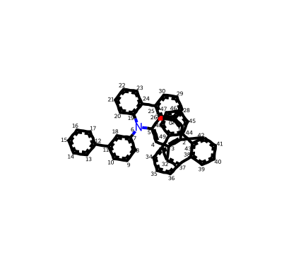 C1=CC2=C(C=C(N(c3cccc(-c4ccccc4)c3)c3ccccc3-c3ccccc3)C1)c1c3cccc1-c1cccc2c1-c1ccccc1-3